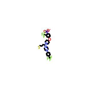 O=[N+]([O-])c1ccc(OC2CCN(C(CCC=S)N3CCN(c4ccc(C(F)(F)F)cc4)CC3)CC2)cc1C(F)(F)F